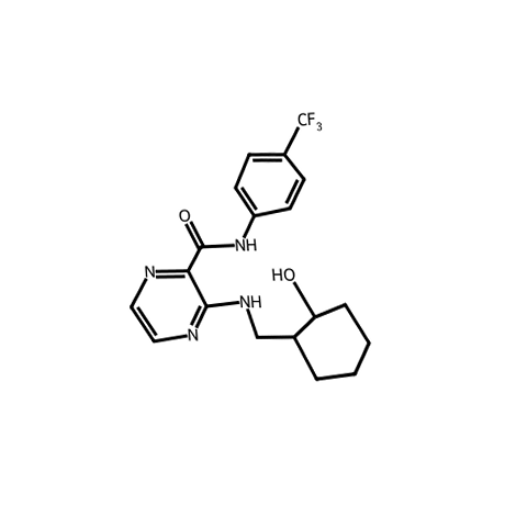 O=C(Nc1ccc(C(F)(F)F)cc1)c1nccnc1NCC1CCCCC1O